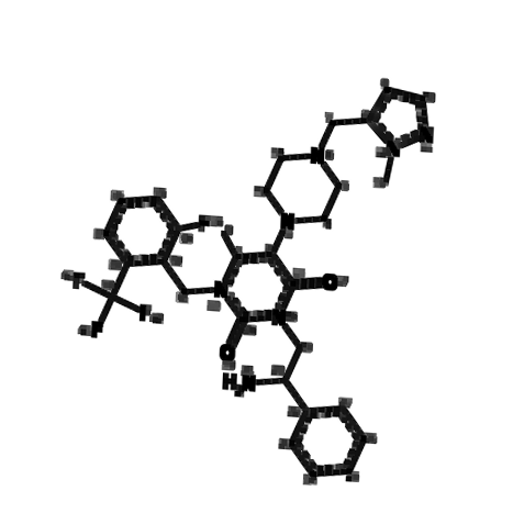 Cc1c(N2CCN(Cc3ccnn3C)CC2)c(=O)n(CC(N)c2ccccc2)c(=O)n1Cc1c(F)cccc1C(F)(F)F